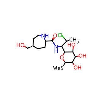 CSC1OC(C(NC(=O)C2CC[C@@H](CO)CCN2)C(C)Cl)C(O)C(O)C1O